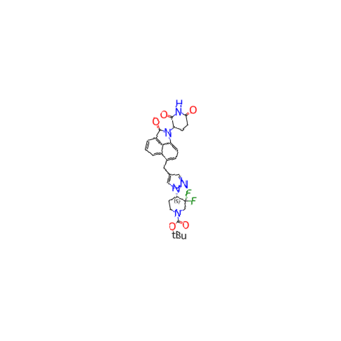 CC(C)(C)OC(=O)N1CC[C@H](n2cc(Cc3ccc4c5c(cccc35)C(=O)N4C3CCC(=O)NC3=O)cn2)C(F)(F)C1